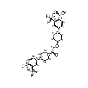 O=C(COC1CCN(c2ccc([N+](=O)[O-])c(C(F)(F)F)c2)CC1)N1CCN(c2ccc(Cl)c(C(F)(F)F)c2)CC1